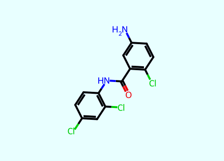 Nc1ccc(Cl)c(C(=O)Nc2ccc(Cl)cc2Cl)c1